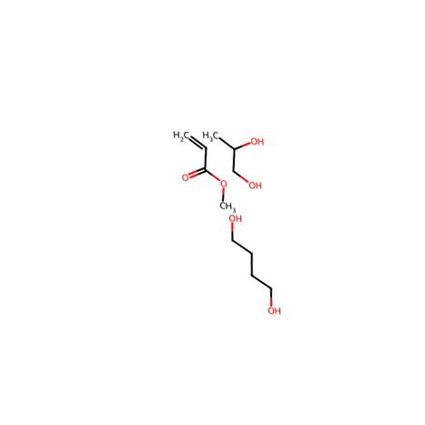 C=CC(=O)OC.CC(O)CO.OCCCCO